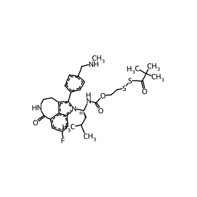 CNCc1ccc(-c2c3c4c(cc(F)cc4n2[C@H](CC(C)C)NC(=O)OCCSSC(=O)C(C)(C)C)C(=O)NCC3)cc1